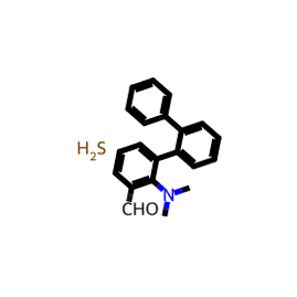 CN(C)c1c(C=O)cccc1-c1ccccc1-c1ccccc1.S